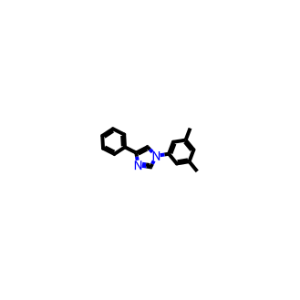 Cc1cc(C)cc(-n2cnc(-c3ccccc3)c2)c1